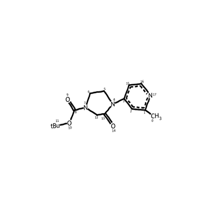 Cc1cc(N2CCN(C(=O)OC(C)(C)C)CC2=O)ccn1